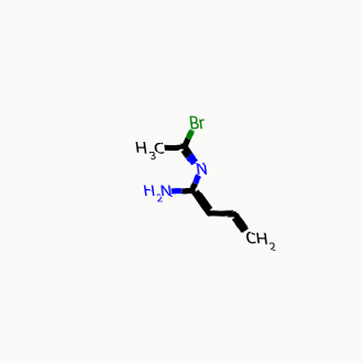 C=C/C=C(N)\N=C(/C)Br